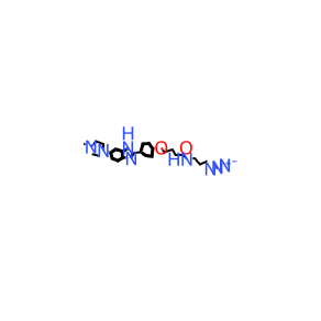 CN1CCN(c2ccc3nc(-c4ccc(OCCCC(=O)NCCCN=[N+]=[N-])cc4)[nH]c3c2)CC1